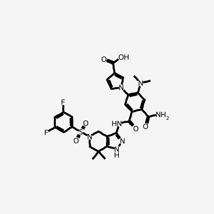 CN(C)c1cc(C(N)=O)c(C(=O)Nc2n[nH]c3c2CN(S(=O)(=O)c2cc(F)cc(F)c2)CC3(C)C)cc1-n1ccc(C(=O)O)c1